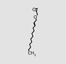 CCCCCCCCCCC=CCOCC1CO1